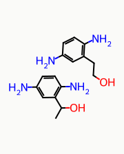 CC(O)c1cc(N)ccc1N.Nc1ccc(N)c(CCO)c1